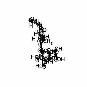 Cc1cc(OCCCC(=O)NCCNC(=O)C(CCC(=O)O)NC(=O)[C@H](CCC(=O)O)NC(=O)CN2CCN(CC(=O)O)CCN(CC(=O)O)CCN(CC(=O)O)CC2)cc(C)c1S(=O)(=O)N[C@@H](CNC(=O)c1ccc2c(cnn2CCCNC2=NCCCN2)c1)C(=O)O